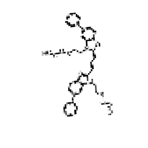 OOOSCCN1/C(=C\C=C\c2oc3ccc(-c4ccccc4)cc3[n+]2CCSOOO)Oc2ccc(-c3ccccc3)cc21